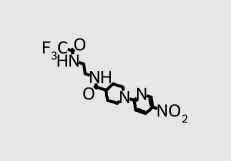 O=C(NCCNC(=O)C(F)(F)F)C1CCN(c2ccc([N+](=O)[O-])cn2)CC1